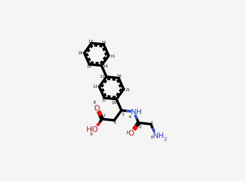 NCC(=O)NC(CC(=O)O)c1ccc(-c2ccccc2)cc1